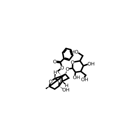 C[C@@]12C[C@@]3(O)O[C@H](O1)[C@]1(COC(=O)c4ccccc4)[C@@H]3C[C@]12OC1OC(CO)C(O)C(CO)C1O